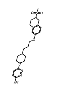 CCCc1ccc(N2CCC(CCCOc3ccc4c(c3)CCN(S(C)(=O)=O)C4)CC2)nn1